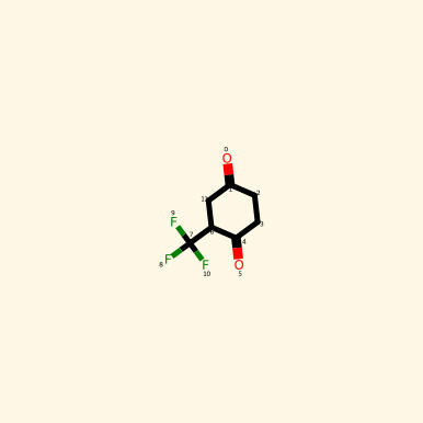 O=C1CCC(=O)C(C(F)(F)F)C1